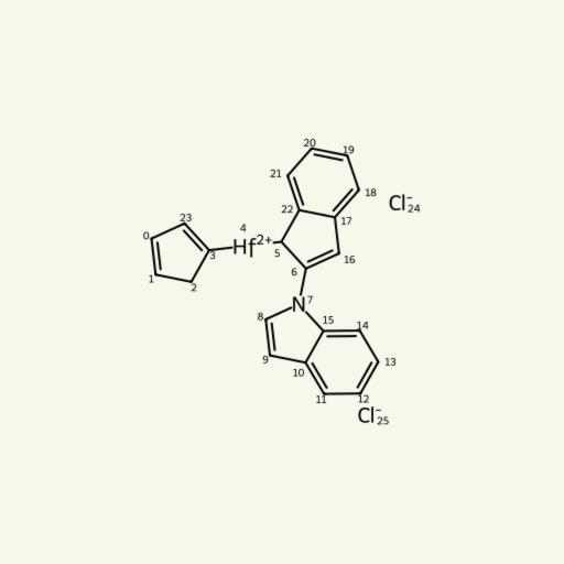 C1=CC[C]([Hf+2][CH]2C(n3ccc4ccccc43)=Cc3ccccc32)=C1.[Cl-].[Cl-]